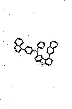 c1ccc(N(c2ccc(-c3cccc4ccccc34)cc2)c2ccc3sc4cccc(-c5ccc6ccccc6c5)c4c3c2)cc1